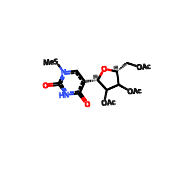 CSn1cc([C@@H]2O[C@H](COC(C)=O)C(OC(C)=O)C2OC(C)=O)c(=O)[nH]c1=O